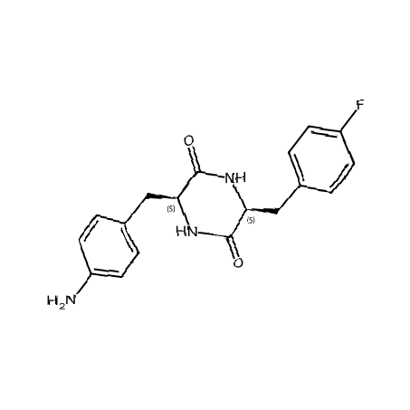 Nc1ccc(C[C@@H]2NC(=O)[C@H](Cc3ccc(F)cc3)NC2=O)cc1